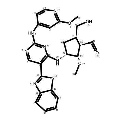 COc1cc(Nc2ncc(-c3nc4ccccc4s3)c(N[C@@H]3C[C@@H](CO)[C@@H]([C]=O)[C@@H]3OC)n2)ccn1